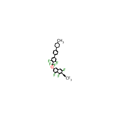 CC1CCC(c2ccc(-c3cc(F)c(C(F)(F)Oc4cc(F)c5c(F)c(C#CC(F)(F)F)c(F)cc5c4)c(F)c3)cc2)CC1